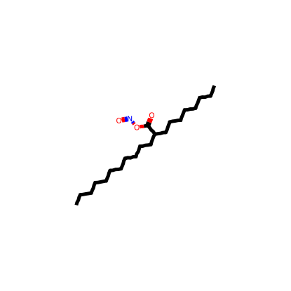 CCCCCCCCCCCC(CCCCCCCC)C(=O)ON=O